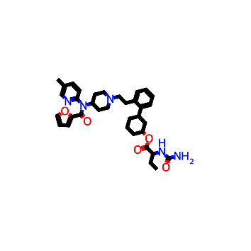 CCC(NC(N)=O)C(=O)OC1CCCC(c2ccccc2CCN2CCC(N(C(=O)c3ccco3)c3ccc(C)cn3)CC2)C1